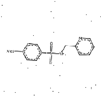 CSc1ccc(S(=O)(=O)NCc2ccccn2)cc1